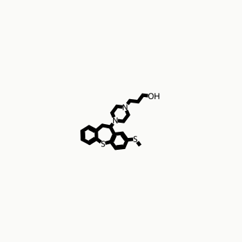 CSc1ccc2c(c1)C(N1CCN(CCCO)CC1)Cc1ccccc1S2